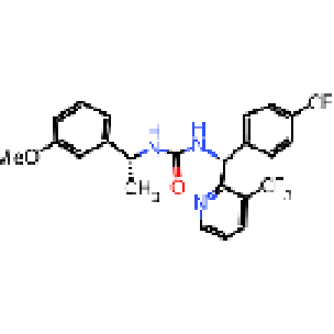 COc1cccc([C@@H](C)NC(=O)N[C@@H](c2ccc(C(F)(F)F)cc2)c2ncccc2C(F)(F)F)c1